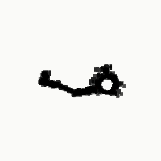 CO[C@H]1C[C@@H]2CC[C@@H](C)[C@@](O)(O2)C(=O)C(=O)N2CCCC[C@H]2C(=O)O[C@H]([C@H](C)C[C@@H]2CC[C@@H](O)[C@H](OC)C2)C[C@@H](O)[C@H](C)/C=C(\C)[C@@H](O)[C@@H](OC)/C(=N/OCC(=O)N2CCc3nc(N4CCN(c5ncc(C(=O)NCCOCCOCCOCCC(=O)N6CCc7cc(Cn8nc(-c9cnc%10[nH]ccc%10c9)c9c(N)ncnc98)ccc7C6)cn5)CC4)ncc3C2)[C@H](C)C[C@H](C)/C=C/C=C/C=C/1C